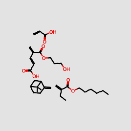 C=C(C=CC(=O)O)C(=O)OCCCO.C=C(CC)C(=O)OCCCCCC.C=C1CCC2CC1C2(C)C.C=CC(=O)O